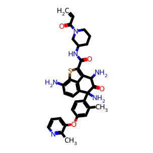 C=CC(=O)N1CCCC(NC(=O)c2sc3c(N)ccc4c3c2C(N)C(=O)C4(N)c2ccc(Oc3cccnc3C)cc2C)C1